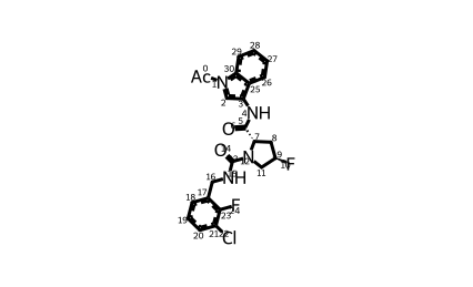 CC(=O)n1cc(NC(=O)[C@@H]2C[C@@H](F)CN2C(=O)NCc2cccc(Cl)c2F)c2ccccc21